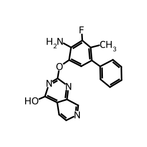 Cc1c(-c2ccccc2)cc(Oc2nc(O)c3ccncc3n2)c(N)c1F